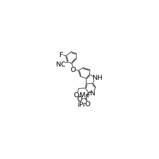 COCc1c(C(=O)OC(C)C)ncc2[nH]c3ccc(Oc4cccc(F)c4C#N)cc3c12